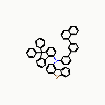 c1ccc(C2(c3ccccc3)c3ccccc3-c3c(N(c4cccc(-c5cccc(-c6cccc7ccccc67)c5)c4)c4cccc5sc6ccccc6c45)cccc32)cc1